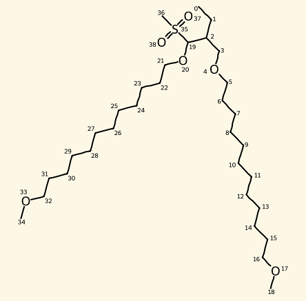 CCC(COCCCCCCCCCCCCOC)C(OCCCCCCCCCCCCOC)S(C)(=O)=O